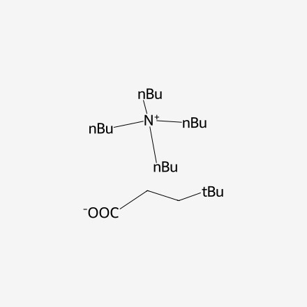 CC(C)(C)CCC(=O)[O-].CCCC[N+](CCCC)(CCCC)CCCC